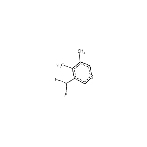 Cc1cncc(C(F)F)c1C